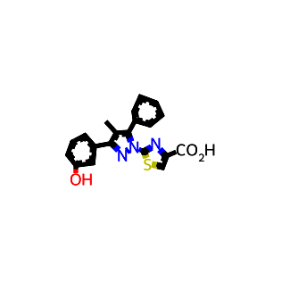 Cc1c(-c2cccc(O)c2)nn(-c2nc(C(=O)O)cs2)c1-c1ccccc1